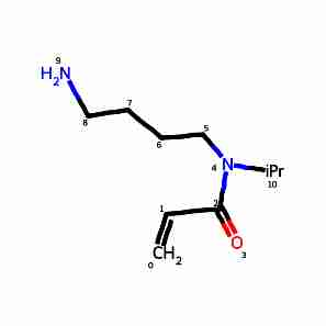 C=CC(=O)N(CCCCN)C(C)C